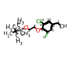 CCc1cc(F)c(OCCO[Si](C)(C)C(C)(C)C)c(Cl)c1